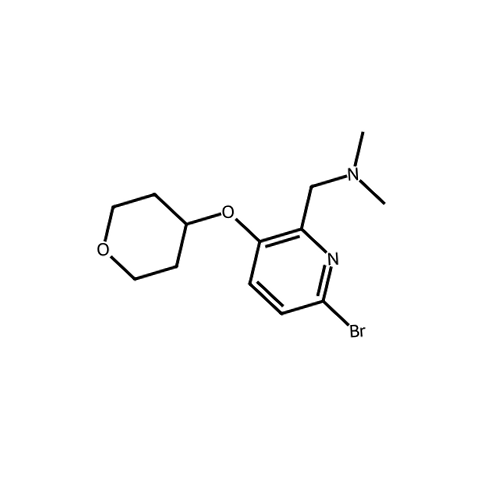 CN(C)Cc1nc(Br)ccc1OC1CCOCC1